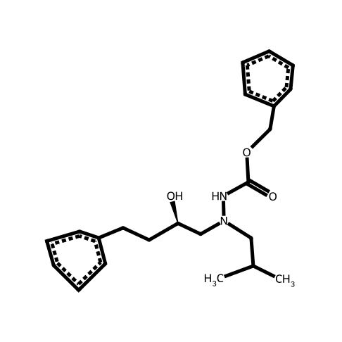 CC(C)CN(C[C@H](O)CCc1ccccc1)NC(=O)OCc1ccccc1